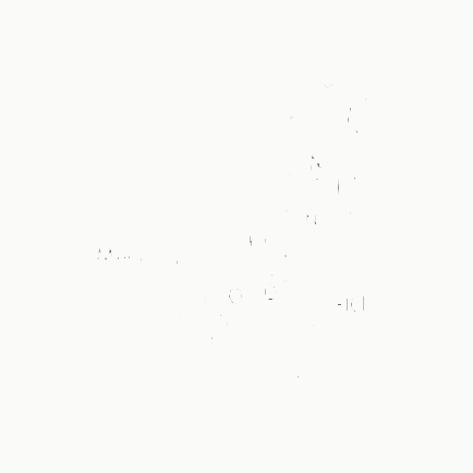 COc1ccc(S(=O)(=O)c2ccc(Cl)c(Cl)c2OCC(O)CN2CCN(c3ccccc3Cl)CC2)cc1.Cl